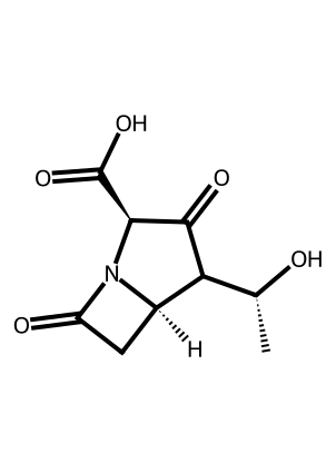 C[C@@H](O)C1C(=O)[C@H](C(=O)O)N2C(=O)C[C@H]12